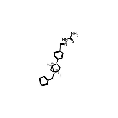 NC(=S)NN=Cc1ccc(N2C[C@@H]3C[C@H]2CN3Cc2ccccc2)cc1